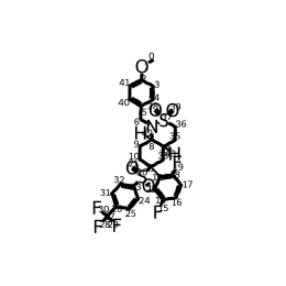 COc1ccc(CN2[C@H]3CC[C@@](c4cc(F)ccc4F)(S(=O)(=O)c4ccc(C(F)(F)F)cc4)C[C@H]3CCS2(=O)=O)cc1